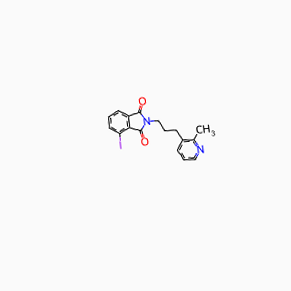 Cc1ncccc1CCCN1C(=O)c2cccc(I)c2C1=O